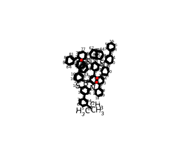 CC(C)(C)c1cccc(-c2cc3c4c(c2)N(c2ccccc2-c2ccccc2)c2ccc(-c5cc([Si](c6ccccc6)(c6ccccc6)c6cccc(-c7ccccc7)c6)cc([Si](c6ccccc6)(c6ccccc6)c6cccc(-c7ccccc7)c6)c5)cc2B4c2cc(-c4ccccc4)ccc2S3)c1